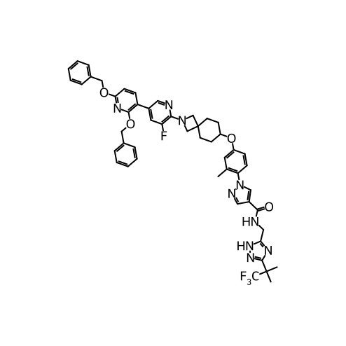 Cc1cc(OC2CCC3(CC2)CN(c2ncc(-c4ccc(OCc5ccccc5)nc4OCc4ccccc4)cc2F)C3)ccc1-n1cc(C(=O)NCc2nc(C(C)(C)C(F)(F)F)n[nH]2)cn1